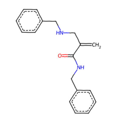 C=C(CNCc1ccccc1)C(=O)NCc1ccccc1